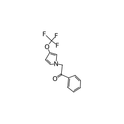 O=C(Cn1ccc(OC(F)(F)F)c1)c1ccccc1